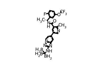 BC(B)(B)Nc1nc2cc(-c3cnc(C)c(C(=O)N[C@H](C)c4cc(OC(F)(F)F)ccc4F)c3)ccn2n1